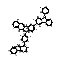 c1ccc(-n2c3ccccc3c3cc(-c4ccc5c(c4)c4cc6ccccc6cc4n5-c4ccc(-c5cccc6c5sc5ccccc56)cc4)ccc32)cc1